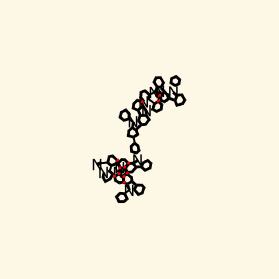 N#Cc1cccc(-n2c3ccccc3c3cc4c5ccccc5n(-c5ccc(-c6ccc7c(c6)c6ccc8c(c9ccccc9n8-c8cccc(C#N)c8-c8ncccc8-n8c9ccccc9c9c8ccc8c%10ccccc%10n(-c%10ccccc%10)c89)c6n7-c6ccccc6)cc5)c4cc32)c1-c1ncccc1-n1c2ccccc2c2cc3c4ccccc4n(-c4ccccc4)c3cc21